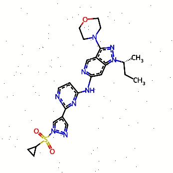 CC[C@@H](C)n1nc(N2CCOCC2)c2cnc(Nc3ccnc(-c4cnn(S(=O)(=O)C5CC5)c4)n3)cc21